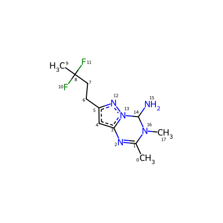 CC1=Nc2cc(CCC(C)(F)F)nn2C(N)N1C